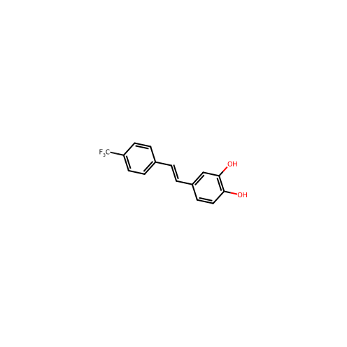 Oc1ccc(C=Cc2ccc(C(F)(F)F)cc2)cc1O